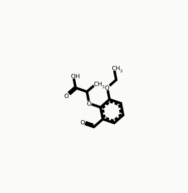 CCOc1cccc(C=O)c1OC(C)C(=O)O